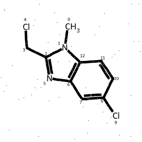 Cn1c(CCl)nc2cc(Cl)ccc21